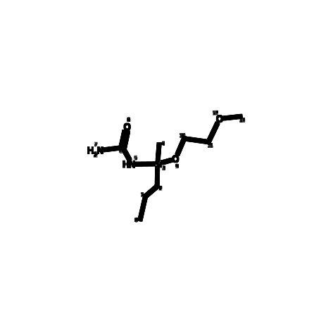 CCC[Si](C)(NC(N)=O)OCCOC